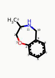 CC1COc2ccccc2CN1